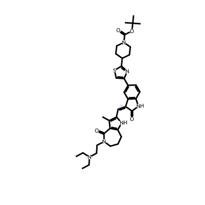 CCN(CC)CCN1CCCc2[nH]c(/C=C3\C(=O)Nc4ccc(-c5csc(C6CCN(C(=O)OC(C)(C)C)CC6)n5)cc43)c(C)c2C1=O